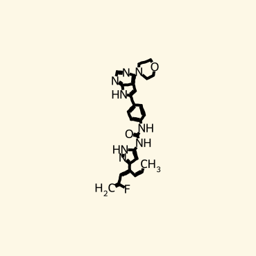 C=C(F)/C=C(\C=C/C)c1cc(NC(=O)Nc2ccc(-c3cc4c(N5CCOCC5)ncnc4[nH]3)cc2)[nH]n1